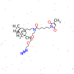 C=C(C)C[Si](C)(CCCN(CCOCCOCCN=[N+]=[N-])C(=O)CCCCCN1C(=O)C=C(C)C1=O)CC(=C)C